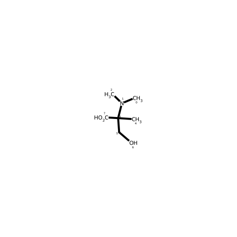 CN(C)C(C)(CO)C(=O)O